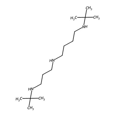 CC(C)(C)NCCCCNCCCNC(C)(C)C